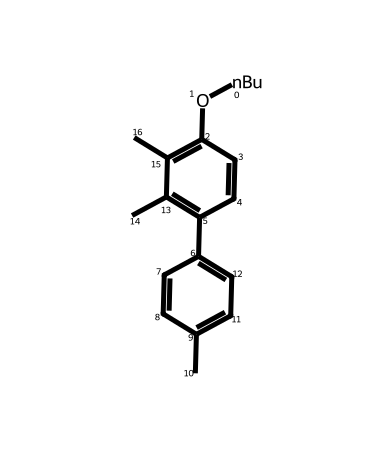 CCCCOc1ccc(-c2ccc(C)cc2)c(C)c1C